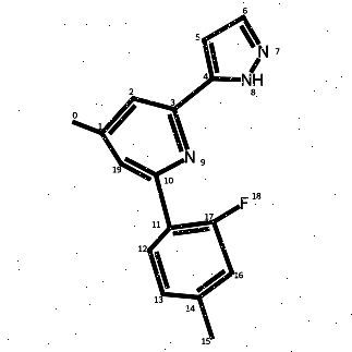 Cc1cc(-c2ccn[nH]2)nc(-c2ccc(C)cc2F)c1